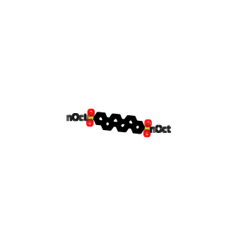 CCCCCCCCS(=O)(=O)c1ccc2c(ccc3c2ccc2c4ccc5cc(S(=O)(=O)CCCCCCCC)ccc5c4ccc32)c1